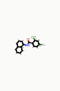 O=C(Nc1cccc2ccccc12)c1ccc(F)cc1Cl